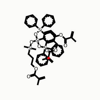 C=C(C)C(=O)OCCC[Si](C)(C)O[Si](O[Si](CCCOC(=O)C(=C)C)(c1ccccc1)c1ccccc1)(O[Si](CCCOC(=O)C(=C)C)(c1ccccc1)c1ccccc1)c1ccccc1